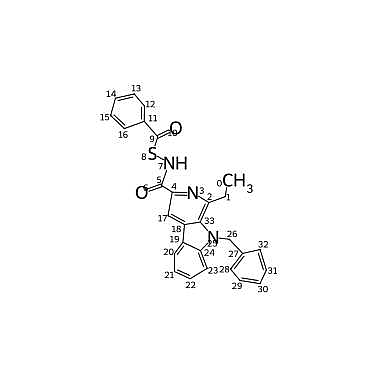 CCc1nc(C(=O)NSC(=O)c2ccccc2)cc2c3ccccc3n(Cc3ccccc3)c12